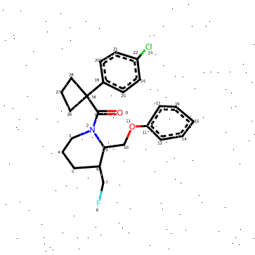 O=C(N1CCCC(CF)C1COc1ccccc1)C1(c2ccc(Cl)cc2)CCC1